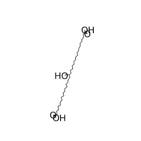 O=C(O)CCCCCCCCCCCCCCCCCCC(CO)CCCCCCCCCCCCCCCCCC(=O)O